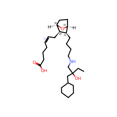 CCC(O)(CNCCCC[C@H]1[C@@H](C/C=C\CCCC(=O)O)[C@H]2CC[C@@H]1O2)CC1CCCCC1